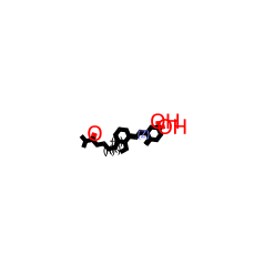 C=C1CCC(O)(O)C/C1=C/C=C1CCC[C@@]2(C)C1CC[C@@H]2[C@H](C)CCC(=O)C(C)C